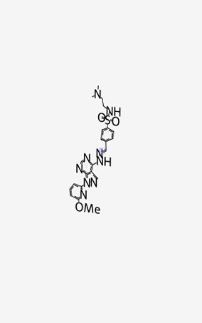 COc1cccc(-n2ncc3c(N/N=C/c4ccc(S(=O)(=O)NCCN(C)C)cc4)ncnc32)n1